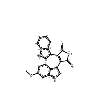 COc1ccc2c(C3=C(c4c[nH]c5ccccc45)C(=O)NC3=O)c[nH]c2c1